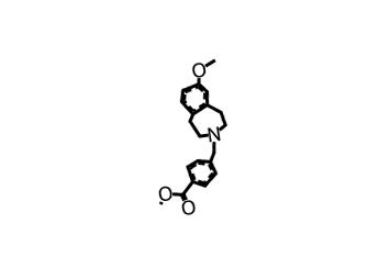 COC(=O)c1ccc(CN2CCc3ccc(OC)cc3CC2)cc1